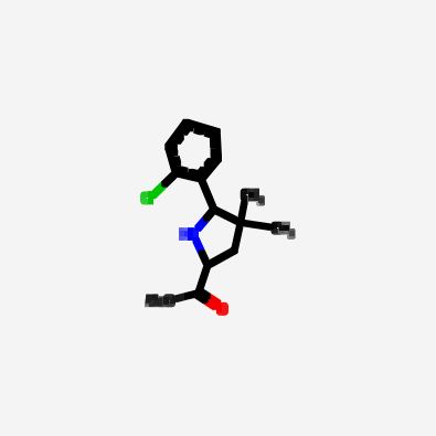 COC(=O)C1CC(C)(C)C(c2ccccc2Cl)N1